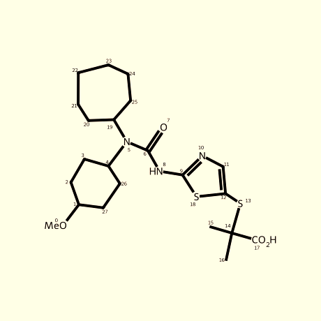 COC1CCC(N(C(=O)Nc2ncc(SC(C)(C)C(=O)O)s2)C2CCCCCC2)CC1